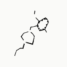 C[CH]CN1CCN(Cc2cc(Cl)ccc2OC)CC1